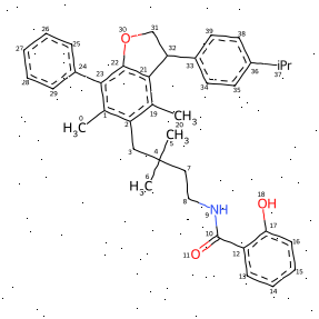 Cc1c(CC(C)(C)CCNC(=O)c2ccccc2O)c(C)c2c(c1-c1ccccc1)OCC2c1ccc(C(C)C)cc1